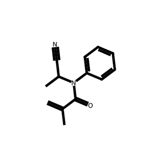 C=C(C)C(=O)N(c1ccccc1)C(C)C#N